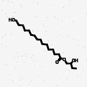 CCC(O)COC(=O)CCCCCCCCCCCCCCCO